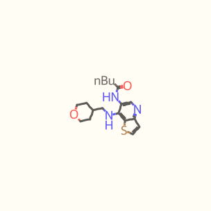 CCCCC(=O)Nc1cnc2ccsc2c1NCC1CCOCC1